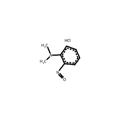 CN(C)c1ccccc1N=O.Cl